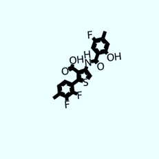 Cc1cc(O)c(C(=O)Nc2csc(-c3ccc(C)c(F)c3F)c2C(=O)O)cc1F